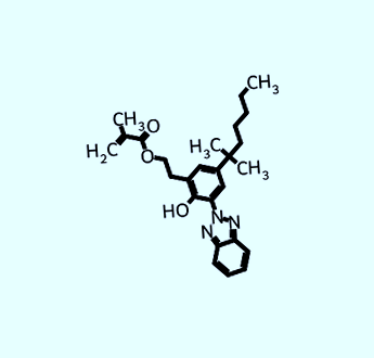 C=C(C)C(=O)OCCc1cc(C(C)(C)CCCCC)cc(-n2nc3ccccc3n2)c1O